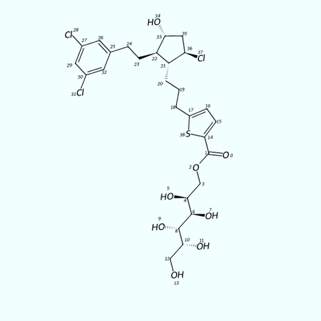 O=C(OC[C@H](O)[C@@H](O)[C@@H](O)[C@H](O)CO)c1ccc(CCC[C@@H]2[C@@H](CCc3cc(Cl)cc(Cl)c3)[C@H](O)C[C@H]2Cl)s1